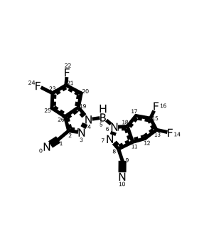 N#Cc1nn(Bn2nc(C#N)c3cc(F)c(F)cc32)c2cc(F)c(F)cc12